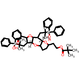 CC(C)(C)C(=O)OCCC1CCC2O[C@H]3C(CC(C)(C)[Si](O)(c4ccccc4)c4ccccc4)C(CC=O)OC3C(CC(C)(C)[Si](O)(c3ccccc3)c3ccccc3)[C@H]2O1